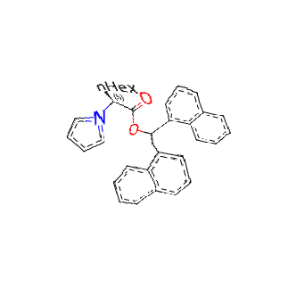 CCCCCC[C@@H](C(=O)OC(c1cccc2ccccc12)c1cccc2ccccc12)n1cccc1